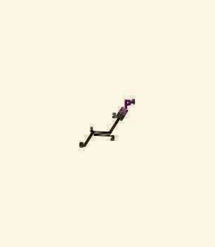 CC=CC#P